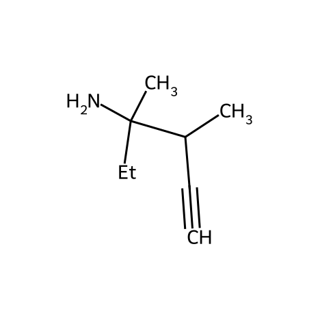 C#CC(C)C(C)(N)CC